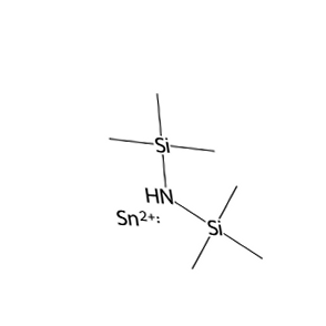 C[Si](C)(C)N[Si](C)(C)C.[Sn+2]